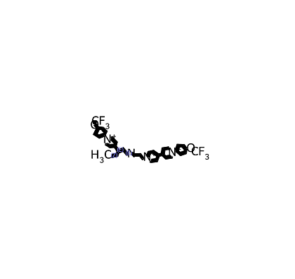 C\C=C/C(=C\C=N\CCC[n+]1ccc(-c2cc[n+](-c3ccc(OC(F)(F)F)cc3)cc2)cc1)c1cc[n+](-c2ccc(OC(F)(F)F)cc2)cc1